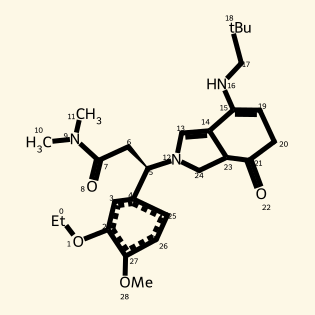 CCOc1cc([C@@H](CC(=O)N(C)C)N2C=C3C(NCC(C)(C)C)=CCC(=O)C3C2)ccc1OC